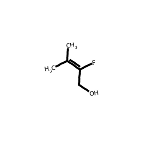 CC(C)=C(F)CO